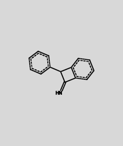 N=C1c2ccccc2C1c1ccccc1